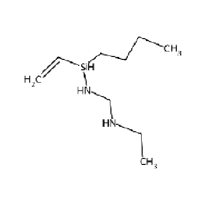 C=C[SiH](CCCC)NCNCC